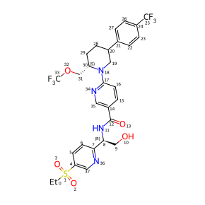 CCS(=O)(=O)c1ccc([C@H](CO)NC(=O)c2ccc(N3CC(c4ccc(C(F)(F)F)cc4)CC[C@H]3COC(F)(F)F)nc2)nc1